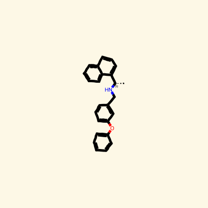 C[C@H](NCc1cccc(Oc2ccccc2)c1)c1cccc2ccccc12